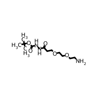 CC(C)(C)OC(=O)NNC(=O)CCOCCOCCN